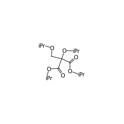 CC(C)OCC(OC(C)C)(C(=O)OC(C)C)C(=O)OC(C)C